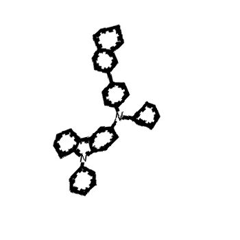 c1ccc(N(c2ccc(-c3ccc4ccccc4c3)cc2)c2ccc3c(c2)c2ccccc2n3-c2ccccc2)cc1